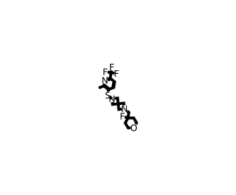 Cc1nc(C(F)(F)F)ccc1SN1CC2(CN(CC3(F)CCOCC3)C2)C1